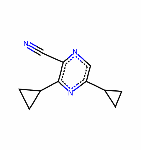 N#Cc1ncc(C2CC2)nc1C1CC1